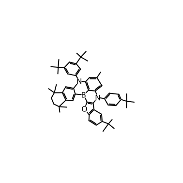 Cc1cc2c3c(c1)N(c1ccc(C(C)(C)C)cc1)c1c(oc4ccc(C(C)(C)C)cc14)B3c1cc3c(cc1N2c1cc(C(C)(C)C)cc(C(C)(C)C)c1)C(C)(C)CCC3(C)C